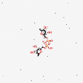 CC1O[C@H](COP(=O)(O)OP(=O)(O)OC[C@H]2OC(C)[C@H](O)[C@@H]2O)[C@@H](O)[C@H]1O